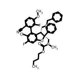 CCCCOC(=O)N(C)C[C@]1(c2ccccc2)Oc2cc(F)c(Cl)c(-c3c(C#N)ccc(OC)c3F)c2[C@@H]1COCc1ccccc1